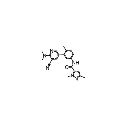 Cc1cc(C(=O)Nc2ccc(C)c(-c3cnc(N(C)C)c(C#N)c3)c2)n(C)n1